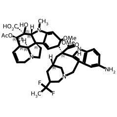 CC[C@]12C=CCN3CC[C@@]4(C5=CC([C@@]6(C(=O)OC)C[C@H]7CC(C(C)(F)F)CN(Cc8c6[nH]c6ccc(N)cc86)C7)C(OC)C=C5N(C)[C@H]4[C@@](O)(C(=O)O)[C@@H]1OC(C)=O)[C@@H]32